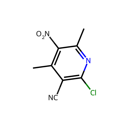 Cc1nc(Cl)c(C#N)c(C)c1[N+](=O)[O-]